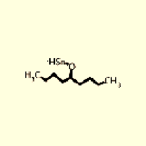 CCCCC(CCCC)[O][SnH]